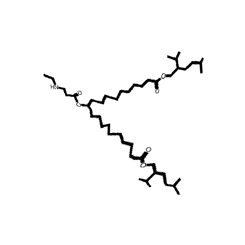 CCNCCC(=O)OC(CCCCCCCCCC(=O)OCC(CCC(C)C)C(C)C)CCCCCCCCCC(=O)OCC(CCC(C)C)C(C)C